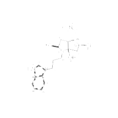 C[C@H]1CC2(O)C(CC(=O)N2CCCc2c[nH]c3ccccc23)[C@@H]1C[N+](=O)[O-]